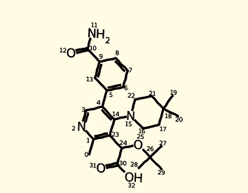 Cc1ncc(-c2cccc(C(N)=O)c2)c(N2CCC(C)(C)CC2)c1C(OC(C)(C)C)C(=O)O